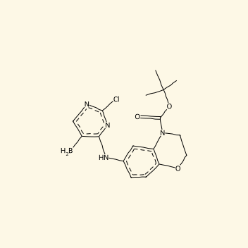 Bc1cnc(Cl)nc1Nc1ccc2c(c1)N(C(=O)OC(C)(C)C)CCO2